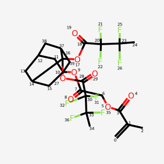 C=C(C)C(=O)OCC(=O)OC12CC3CC(C1)C(OC(=O)C(F)(F)C(C)(F)F)(OC(=O)C(F)(F)C(C)(F)F)C(C3)C2